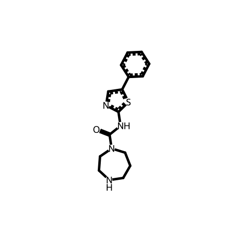 O=C(Nc1ncc(-c2ccccc2)s1)N1CCCNCC1